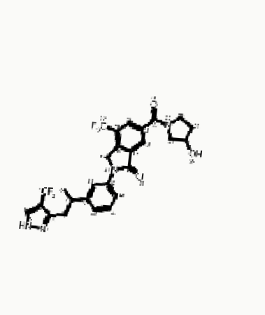 CC(Cc1n[nH]cc1C(F)(F)F)c1cccc(N2Cc3c(cc(C(=O)N4CCC(O)C4)cc3C(F)(F)F)C2=O)c1